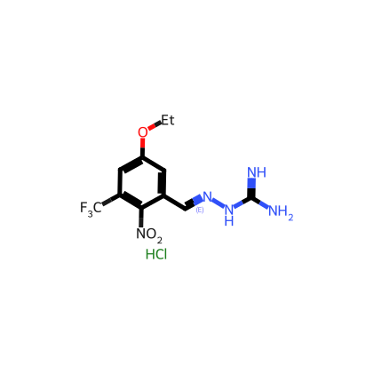 CCOc1cc(/C=N/NC(=N)N)c([N+](=O)[O-])c(C(F)(F)F)c1.Cl